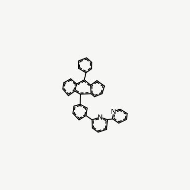 c1ccc(-c2c3ccccc3c(-c3cccc(-c4cccc(-c5ccccn5)n4)c3)c3ccccc23)cc1